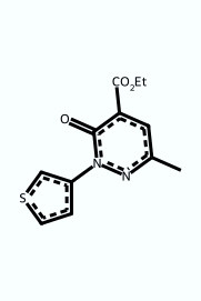 CCOC(=O)c1cc(C)nn(-c2ccsc2)c1=O